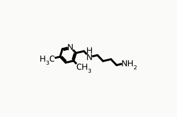 Cc1cnc(CNCCCCN)c(C)c1